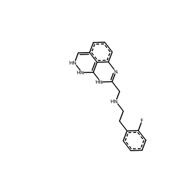 Fc1ccccc1CCNCC1=Nc2cccc3c2=C(NNC=3)N1